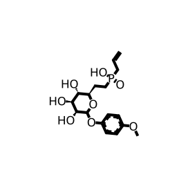 C=CCP(=O)(O)CC[C@H]1OC(Oc2ccc(OC)cc2)[C@@H](O)[C@@H](O)[C@@H]1O